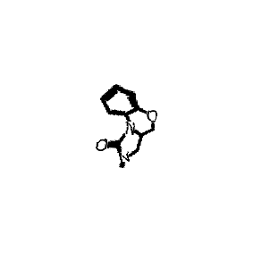 CN1CC2COc3ccccc3N2C1=O